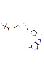 CC(C)(CO)C(=O)SCCO[PH](=O)OC[C@H]1O[C@@H](n2cnc3c(=O)[nH]c(N)nc32)[C@](C)(O)[C@@H]1O